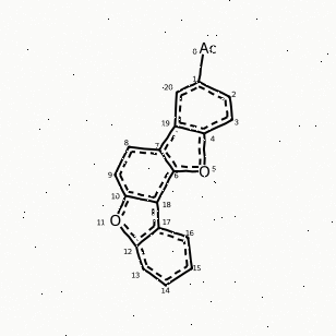 CC(=O)c1ccc2oc3c(ccc4oc5ccccc5c43)c2c1